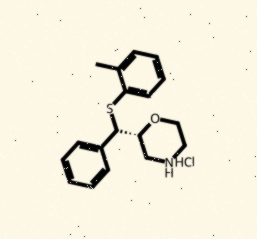 Cc1ccccc1SC(c1ccccc1)[C@H]1CNCCO1.Cl